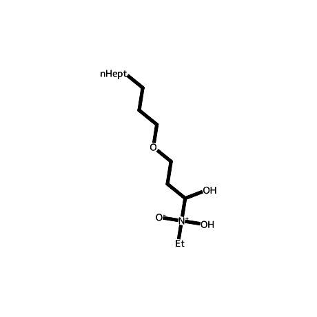 CCCCCCCCCCOCCC(O)[N+]([O-])(O)CC